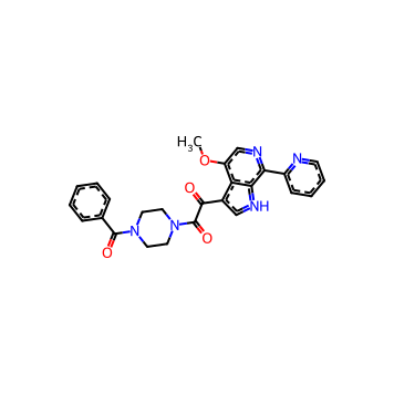 COc1cnc(-c2ccccn2)c2[nH]cc(C(=O)C(=O)N3CCN(C(=O)c4ccccc4)CC3)c12